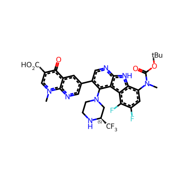 CN(C(=O)OC(C)(C)C)c1cc(F)c(F)c2c1[nH]c1ncc(-c3cnc4c(c3)c(=O)c(C(=O)O)cn4C)c(N3CCN[C@H](C(F)(F)F)C3)c12